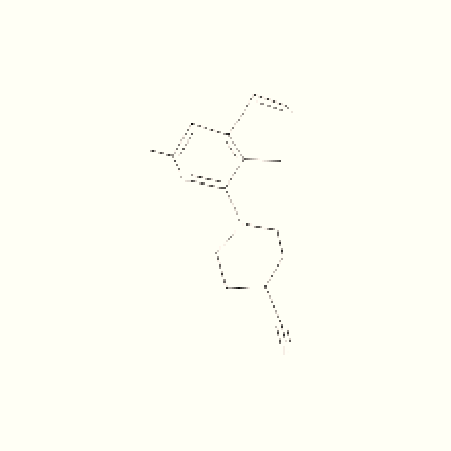 Cc1cc(C=N)c(C)c(N2CCC(C#N)CC2)n1